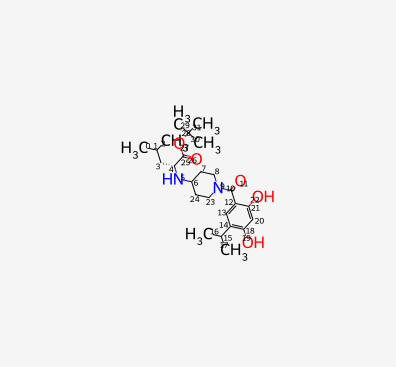 CC(C)C[C@@H](NC1CCN(C(=O)c2cc(C(C)C)c(O)cc2O)CC1)C(=O)OC(C)(C)C